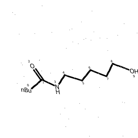 CCCCC(=O)NCCCCCO